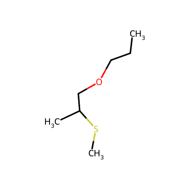 CCCOCC(C)SC